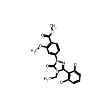 CCn1c(-c2c(Cl)cccc2Cl)nn(-c2ccc(C(=O)OC)c(OC)c2)c1=O